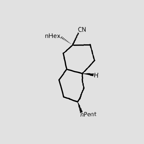 CCCCCC[C@]1(C#N)CC[C@@H]2C[C@@H](CCCCC)CCC2C1